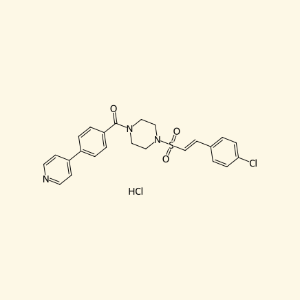 Cl.O=C(c1ccc(-c2ccncc2)cc1)N1CCN(S(=O)(=O)/C=C/c2ccc(Cl)cc2)CC1